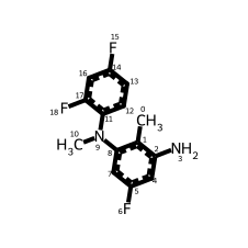 Cc1c(N)cc(F)cc1N(C)c1ccc(F)cc1F